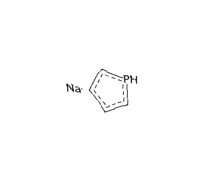 [Na].c1cc[pH]c1